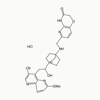 COc1ccc2ncc(C#N)c(CC(O)C34CCC(NCc5ccc6c(n5)NC(=O)CO6)(CC3)CO4)c2n1.Cl